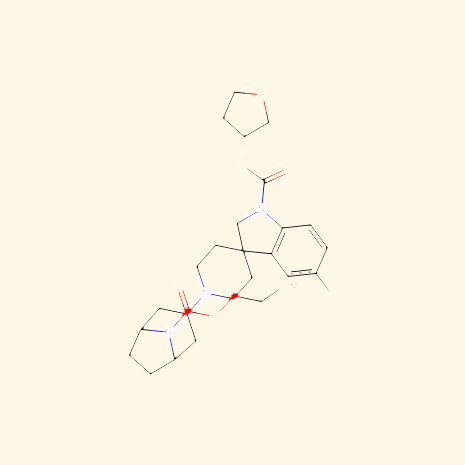 COCCOC(=O)N1C2CCC1CC(N1CCC3(CC1)CN(C(=O)O[C@@H]1CCOC1)c1ccc(F)cc13)C2